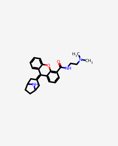 CN(C)CCNC(=O)c1cccc2c1Oc1ccccc1C2=C1CC2CCC(C1)N2